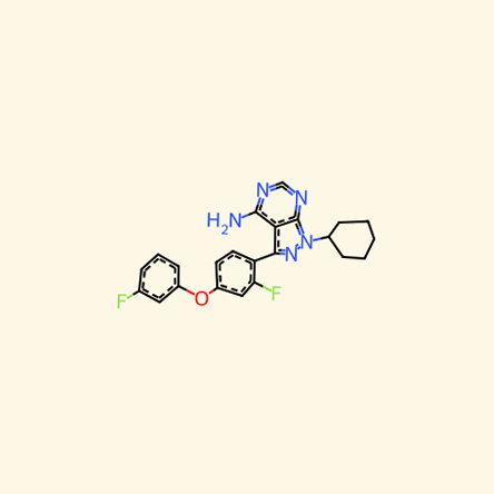 Nc1ncnc2c1c(-c1ccc(Oc3cccc(F)c3)cc1F)nn2C1CCCCC1